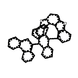 c1ccc2c(c1)cc(-c1c3ccccc3c(-c3cccc4oc5ccc6oc7ccccc7c6c5c34)c3ccccc13)c1ccccc12